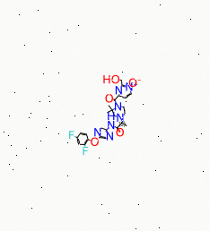 C[C@@H](C(=O)Nc1cnc(Oc2ccc(F)cc2F)cn1)N1CCN(C(=O)c2cc[n+]([O-])c(CO)n2)C(C)(C)C1